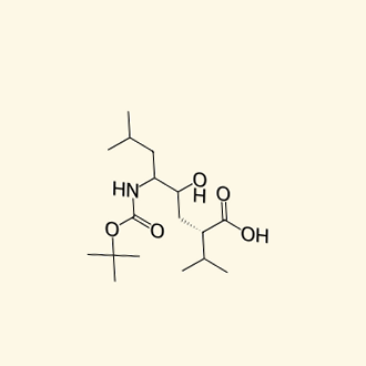 CC(C)CC(NC(=O)OC(C)(C)C)C(O)C[C@H](C(=O)O)C(C)C